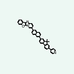 CC1(C)c2cc(-c3ccncc3)ccc2-c2ccc(-c3ccc4cc(-c5ccc6nc7c8ccccc8oc7n6c5)ccc4c3)cc21